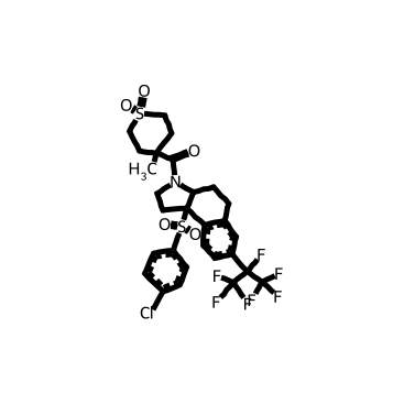 CC1(C(=O)N2CCC3(S(=O)(=O)c4ccc(Cl)cc4)c4ccc(C(F)(C(F)(F)F)C(F)(F)F)cc4CCC23)CCS(=O)(=O)CC1